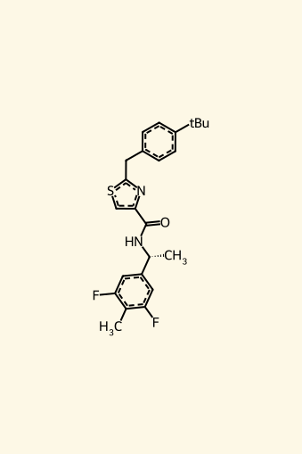 Cc1c(F)cc([C@@H](C)NC(=O)c2csc(Cc3ccc(C(C)(C)C)cc3)n2)cc1F